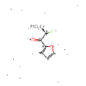 CCOC(=O)[C@@H](F)C(=O)c1ccco1